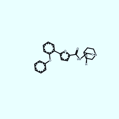 O=C(N[C@H]1CN2CCC1CC2)c1ccc(-c2ccccc2Oc2ccccc2)o1